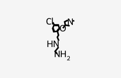 CN1CCC(Oc2cc(Cl)ccc2CCCNCCN)C1